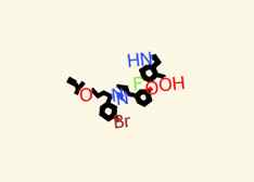 C#CC(C)(C)OCCCC(c1cccc(Br)c1)n1ccc(-c2cccc(Oc3c(F)cc4[nH]ccc4c3CO)c2)n1